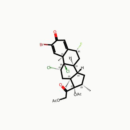 CC(=O)OCC(=O)[C@]1(OC(C)=O)[C@@H](C)C[C@H]2[C@@H]3C[C@@H](F)C4=CC(=O)C(Br)=C[C@]4(C)[C@@]3(Cl)[C@@H](Cl)C[C@@]21C